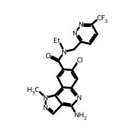 CCN(Cc1ccc(C(F)(F)F)nn1)C(=O)c1cc2c(cc1Cl)nc(N)c1cnn(C)c12